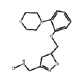 ClNCC1=NOC(COc2ccccc2N2CCOCC2)C1